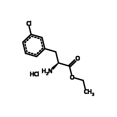 CCOC(=O)[C@@H](N)Cc1cccc(Cl)c1.Cl